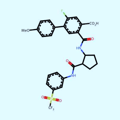 COc1ccc(-c2cc(C(=O)NC3CCCC3C(=O)Nc3cccc(S(=O)(=O)C(F)(F)F)c3)c(C(=O)O)cc2F)cc1